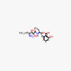 CC(C)C[C@H](NC(=O)[C@@H](O)[C@@H](O)[C@@H](N)CC(=O)O)[C@@H]1Cc2cccc(O)c2C(=O)O1